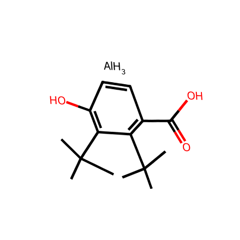 CC(C)(C)c1c(O)ccc(C(=O)O)c1C(C)(C)C.[AlH3]